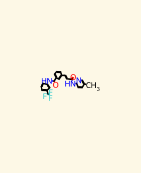 Cc1ccc(NC(=O)C=Cc2cccc(C(=O)Nc3cccc(C(F)(F)F)c3)c2)nc1